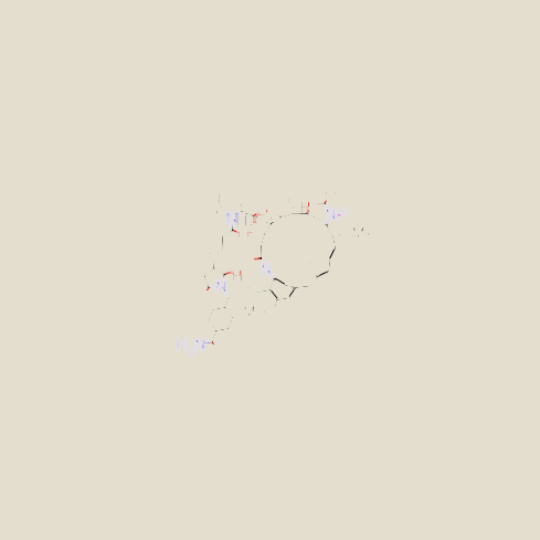 COc1cc2cc(c1Cl)N(C)C(=O)C[C@H](OC(=O)[C@H](C)N(C)C(=O)CCSC1CC(=O)N(CC3CCC(C(N)=O)CC3)C1=O)C1(C)OC1[C@H](C)[C@@H]1C[C@@](O)(NC(=O)O1)[C@H](OC)/C=C/C=C(\C)C2